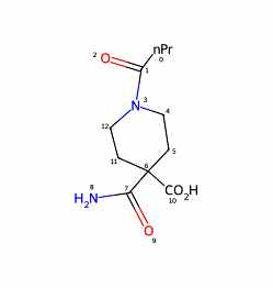 CCCC(=O)N1CCC(C(N)=O)(C(=O)O)CC1